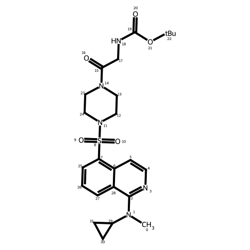 CN(c1nccc2c(S(=O)(=O)N3CCN(C(=O)CNC(=O)OC(C)(C)C)CC3)cccc12)C1CC1